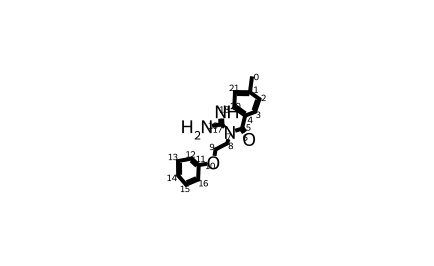 Cc1ccc(C(=O)N(CCOc2ccccc2)C(=N)N)cc1